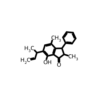 C=CC(C)c1cc(C)c2c(c1O)C(=O)C(C)C2c1ccccc1